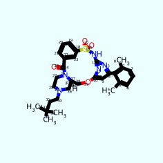 Cc1cccc(C)c1-c1cc2nc(n1)NS(=O)(=O)c1cccc(c1)C(=O)N1CCN(CCC(C)(C)C)C[C@@H]1CO2